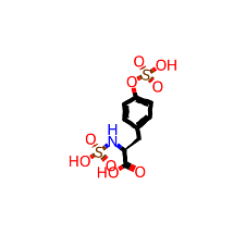 O=C(O)[C@H](Cc1ccc(OS(=O)(=O)O)cc1)NS(=O)(=O)O